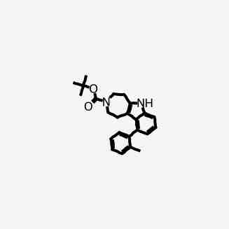 Cc1ccccc1-c1cccc2[nH]c3c(c12)CCN(C(=O)OC(C)(C)C)CC3